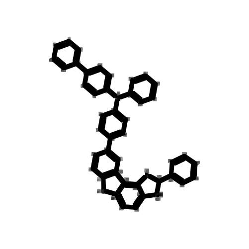 c1ccc(-c2ccc(N(c3ccccc3)c3ccc(-c4ccc5oc6ccc7c(c6c5c4)SC(c4ccccc4)N7)cc3)cc2)cc1